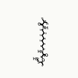 CC(OCC(=O)NCCCCCCCCNC(=O)C(C)C)SS